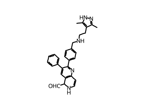 Cc1n[nH]c(C)c1CCNCc1ccc(-c2nc3c(cc2-c2ccccc2)C(C=O)NC=C3)cc1